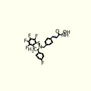 CC(c1ccc(F)cc1)N(Cc1ccc(/C=C/C(=O)NO)cc1)Sc1c(F)c(F)c(F)c(F)c1F